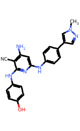 Cn1cc(-c2ccc(Nc3cc(N)c(C#N)c(Nc4ccc(O)cc4)n3)cc2)cn1